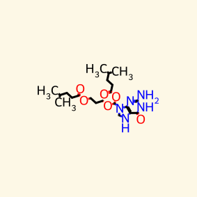 CC(C)CCC(=O)OCCCOC(OC(=O)CCC(C)C)N1CNc2c1nc(N)[nH]c2=O